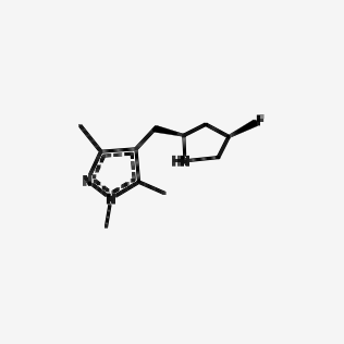 Cc1nn(C)c(C)c1C[C@H]1C[C@@H](F)CN1